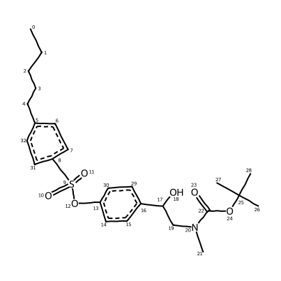 CCCCCc1ccc(S(=O)(=O)Oc2ccc(C(O)CN(C)C(=O)OC(C)(C)C)cc2)cc1